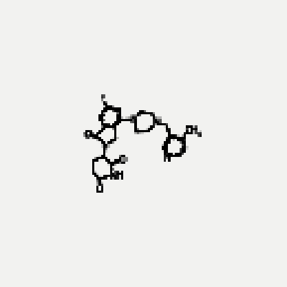 Cc1ccncc1CN1CCN(c2cc(F)cc3c2CN(C2CCC(=O)NC2=O)C3=O)CC1